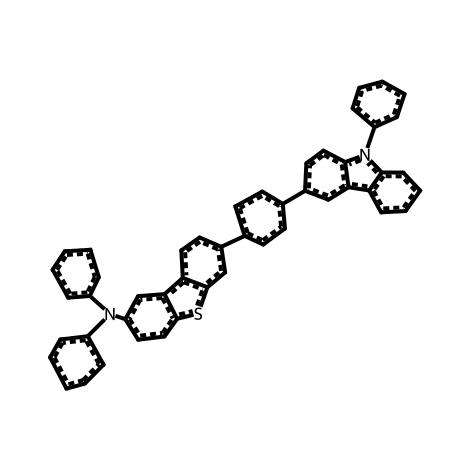 c1ccc(N(c2ccccc2)c2ccc3sc4cc(-c5ccc(-c6ccc7c(c6)c6ccccc6n7-c6ccccc6)cc5)ccc4c3c2)cc1